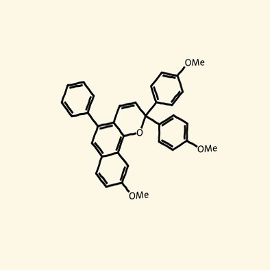 COc1ccc(C2(c3ccc(OC)cc3)C=Cc3c(-c4ccccc4)cc4ccc(OC)cc4c3O2)cc1